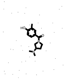 Cc1cc(C(=O)N2CCC(N(C)C)C2)ccc1O